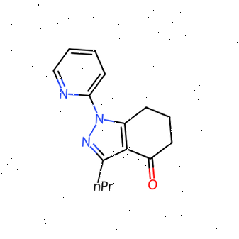 CCCc1nn(-c2ccccn2)c2c1C(=O)CCC2